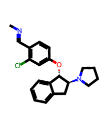 C/N=C/c1ccc(O[C@H]2c3ccccc3C[C@@H]2N2CCCC2)cc1Cl